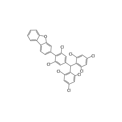 Clc1cc(Cl)c(C(c2cc(Cl)c(-c3ccc4c(c3)oc3ccccc34)c(Cl)c2)c2c(Cl)cc(Cl)cc2Cl)c(Cl)c1